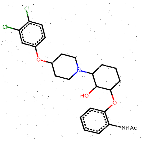 CC(=O)Nc1ccccc1OC1CCCC(N2CCC(Oc3ccc(Cl)c(Cl)c3)CC2)C1O